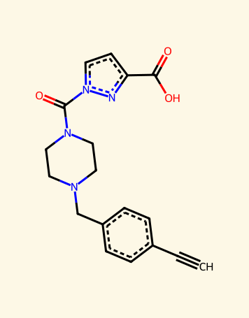 C#Cc1ccc(CN2CCN(C(=O)n3ccc(C(=O)O)n3)CC2)cc1